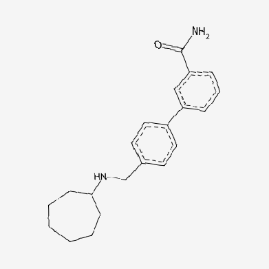 NC(=O)c1cccc(-c2ccc(CNC3CCCCCC3)cc2)c1